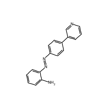 Nc1ccccc1/N=N/c1ccc(-c2cccnc2)cc1